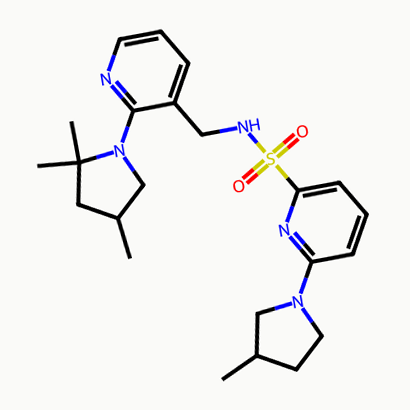 CC1CCN(c2cccc(S(=O)(=O)NCc3cccnc3N3CC(C)CC3(C)C)n2)C1